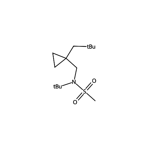 CC(C)(C)CC1(CN(C(C)(C)C)S(C)(=O)=O)CC1